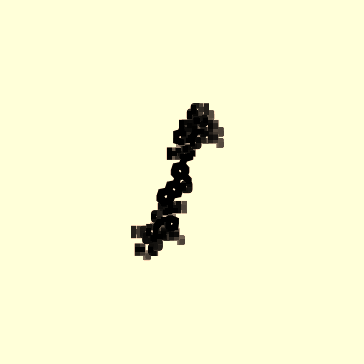 COC(=O)NC(C(=O)N1[C@@H](C)CC[C@H]1c1ncc(-c2ccc3c(c2)COc2cc4c(ccc5nc([C@@H]6CC[C@H](C)N6C(=O)[C@H](CO)NC(=O)OC)[nH]c54)cc2-3)[nH]1)C(C)C